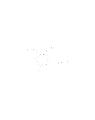 [2H]OCc1c(C)c(Cl)nc(CCCC)c1C(C)(C)C